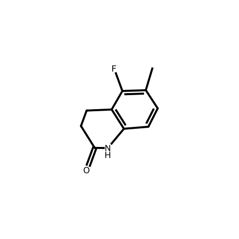 Cc1ccc2c(c1F)CCC(=O)N2